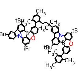 Cc1cc(C)c(-c2ccc3c(c2)B2c4c(cc(C(C)(C)C)cc4-n4c5ccc(C(C)(C)CCc6cc(C)cc(C)c6-c6ccc7c(c6)B6c8c(cc(C(C)C)cc8-n8c9ccc(C(C)(C)C)cc9c9cc(C(C)(C)C)cc6c98)O7)cc5c5cc(C(C)(C)C)cc2c54)O3)c(C)c1